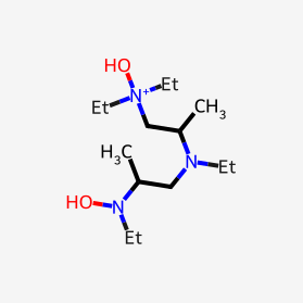 CCN(O)C(C)CN(CC)C(C)C[N+](O)(CC)CC